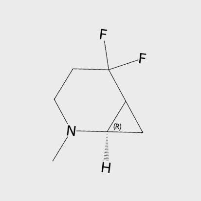 CN1CCC(F)(F)C2C[C@H]21